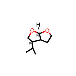 CC(C)[C@H]1CO[C@H]2OCCC21